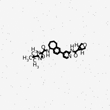 CC(C)(C)c1noc(C(=O)N[C@H]2CCCCc3cc(-c4ccnc(NC(=O)C5[C@@H]6COC[C@@H]56)c4)ccc32)n1